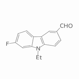 CCn1c2ccc(C=O)cc2c2ccc(F)cc21